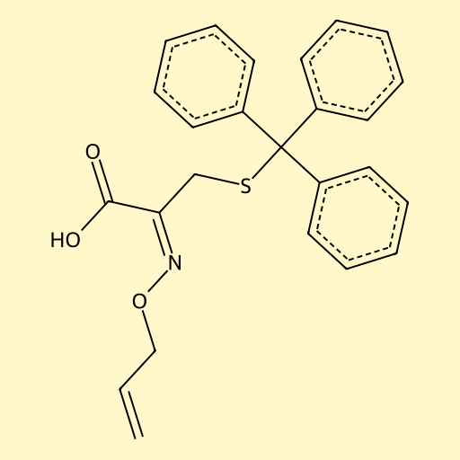 C=CCON=C(CSC(c1ccccc1)(c1ccccc1)c1ccccc1)C(=O)O